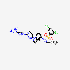 NCCNc1nccc(-n2ccc3cc(N(CC(=O)O)S(=O)(=O)c4cc(Cl)cc(Cl)c4)ccc32)n1